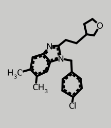 Cc1cc2nc(CCC3CCOC3)n(Cc3ccc(Cl)cc3)c2cc1C